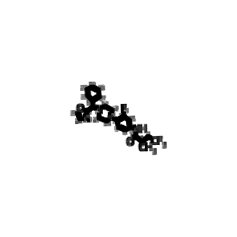 CC(CC(F)(F)F)C(=O)Nc1ccc(N2CCN(C(c3ccccc3)c3ncco3)CC2)c(F)c1